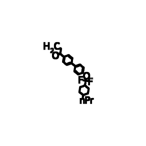 C=CC(=O)c1ccc(-c2ccc(OC(F)(F)C3CCC(CCC)CC3)cc2)cc1